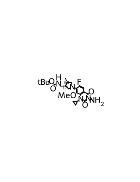 COc1c(N2C[C@H](CNC(=O)OC(C)(C)C)[C@@H](C)C2)c(F)cc2c(=O)n(N)c(=O)n(C3CC3)c12